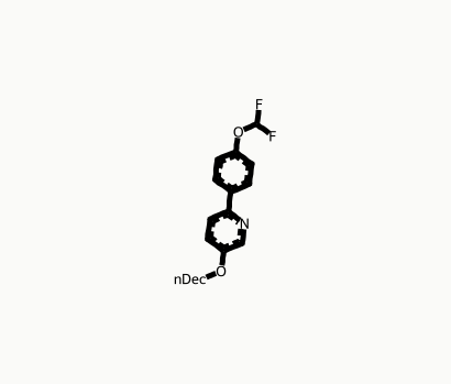 CCCCCCCCCCOc1ccc(-c2ccc(OC(F)F)cc2)nc1